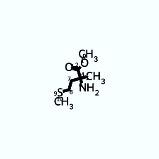 COC(=O)C(C)(N)CCSC